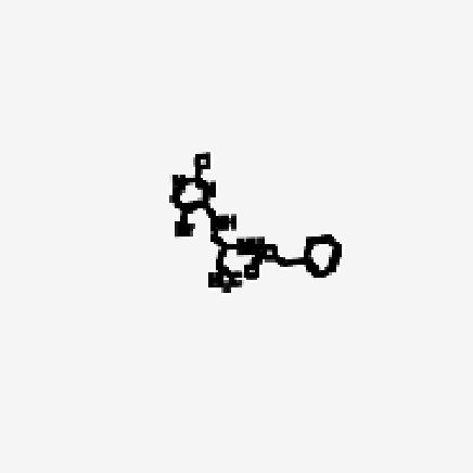 CCC(CNc1nc(Cl)ncc1Br)NC(=O)OCc1ccccc1